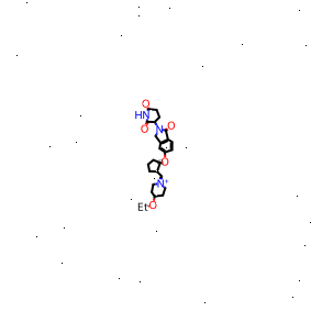 CCOC1CC[N+](=CC2CCC[C@@H]2Oc2ccc3c(c2)CN(C2CCC(=O)NC2=O)C3=O)CC1